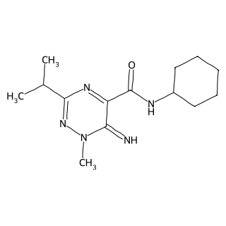 CC(C)c1nc(C(=O)NC2CCCCC2)c(=N)n(C)n1